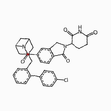 O=C1CCC(N2Cc3cc(C(=O)N4C5CC4CN(Cc4ccccc4-c4ccc(Cl)cc4)C5)ccc3C2=O)C(=O)N1